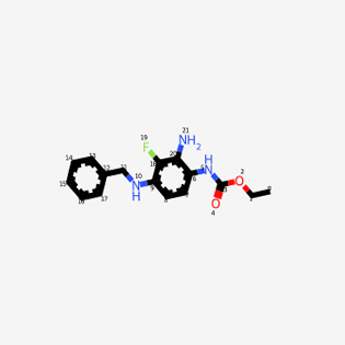 CCOC(=O)Nc1ccc(NCc2ccccc2)c(F)c1N